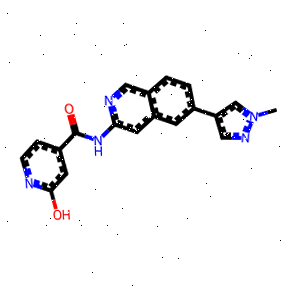 Cn1cc(-c2ccc3cnc(NC(=O)c4ccnc(O)c4)cc3c2)cn1